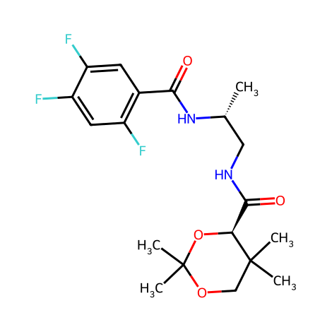 C[C@H](CNC(=O)[C@@H]1OC(C)(C)OCC1(C)C)NC(=O)c1cc(F)c(F)cc1F